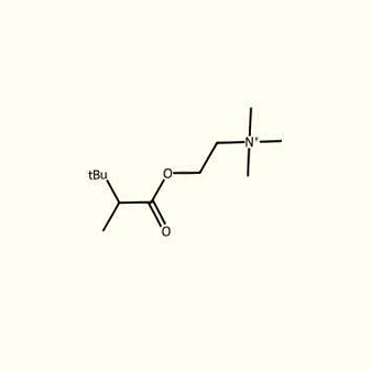 CC(C(=O)OCC[N+](C)(C)C)C(C)(C)C